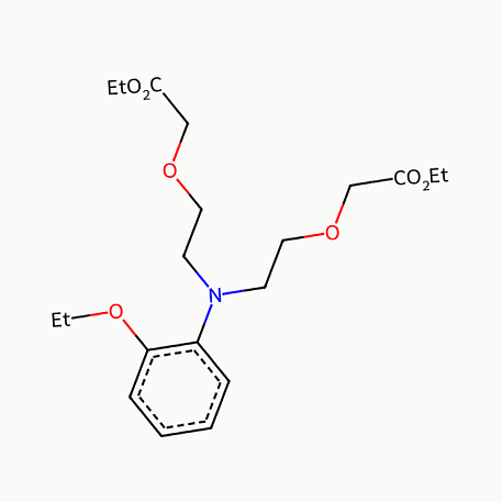 CCOC(=O)COCCN(CCOCC(=O)OCC)c1ccccc1OCC